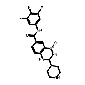 O=C(Nc1cc(F)c(F)c(F)c1)c1ccc2c(c1)[S+]([O-])NC(C1CCNCC1)N2